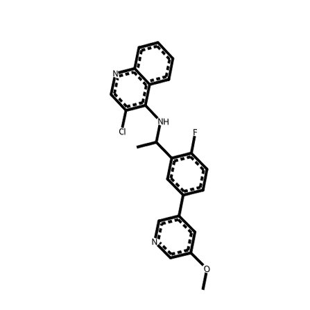 COc1cncc(-c2ccc(F)c(C(C)Nc3c(Cl)cnc4ccccc34)c2)c1